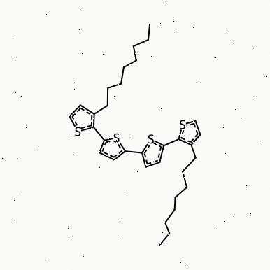 CCCCCCCCc1ccsc1-c1ccc(-c2ccc(-c3sccc3CCCCCCCC)s2)s1